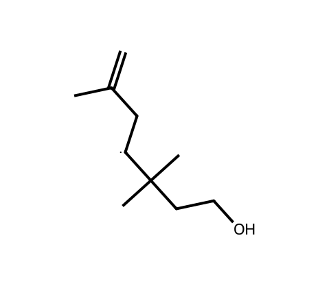 C=C(C)C[CH]C(C)(C)CCO